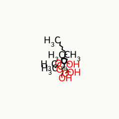 CCCCCCC(C)(C)c1cc(O)c2c(c1)OC(C)(C)OC(CCO)[C@H]2CC(=O)O